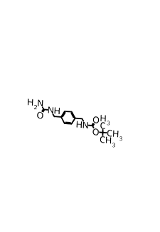 CC(C)(C)OC(=O)NCc1ccc(CNC(N)=O)cc1